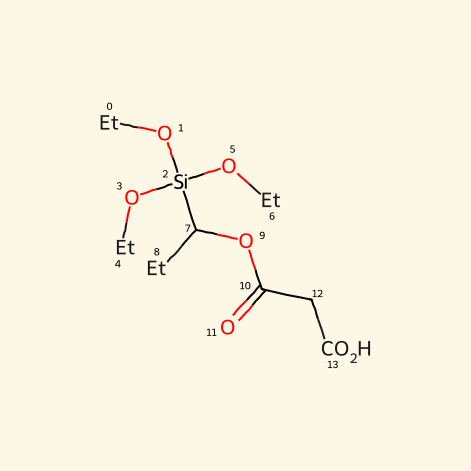 CCO[Si](OCC)(OCC)C(CC)OC(=O)CC(=O)O